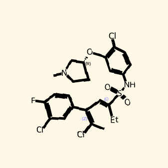 CC/C(=C\C(=C(/C)Cl)c1ccc(F)c(Cl)c1)S(=O)(=O)Nc1ccc(Cl)c(O[C@@H]2CCN(C)C2)c1